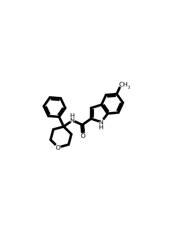 Cc1ccc2[nH]c(C(=O)NC3(c4ccccc4)CCOCC3)cc2c1